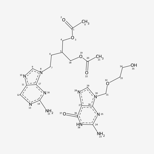 CC(=O)OCC(CCn1cnc2cnc(N)nc21)COC(C)=O.Nc1nc2c(ncn2COCCO)c(=O)[nH]1